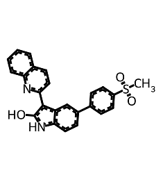 CS(=O)(=O)c1ccc(-c2ccc3[nH]c(O)c(-c4ccc5ccccc5n4)c3c2)cc1